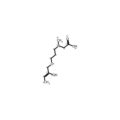 CC=C(O)COCCCN(C)CC(=O)O